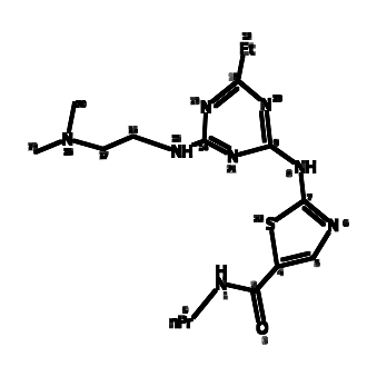 CCCNC(=O)c1cnc(Nc2nc(CC)nc(NCCN(C)C)n2)s1